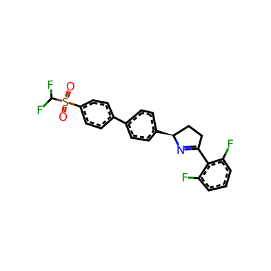 O=S(=O)(c1ccc(-c2ccc([C@H]3CCC(c4c(F)cccc4F)=N3)cc2)cc1)C(F)F